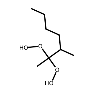 CCCCC(C)C(C)(OO)OO